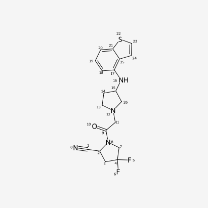 N#CC1CC(F)(F)CN1C(=O)CN1CCC(Nc2cccc3sccc23)C1